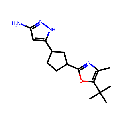 Cc1nc(C2CCC(c3cc(N)n[nH]3)C2)oc1C(C)(C)C